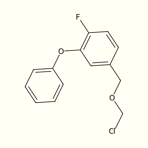 Fc1ccc(COCCl)cc1Oc1ccccc1